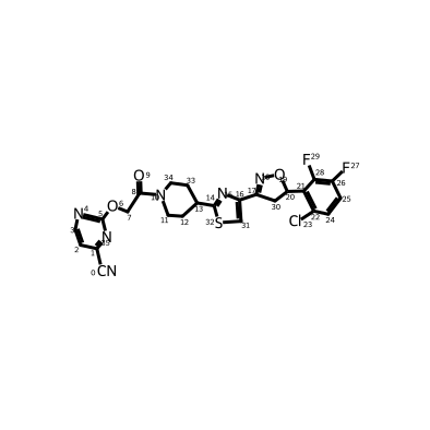 N#Cc1ccnc(OCC(=O)N2CCC(c3nc(C4=NOC(c5c(Cl)ccc(F)c5F)C4)cs3)CC2)n1